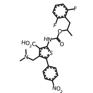 CC(Cc1c(F)cccc1F)OC(=O)Nc1sc(-c2ccc([N+](=O)[O-])cc2)c(CN(C)C)c1C(=O)O